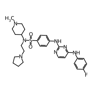 CN1CCC(N(CCN2CCCC2)S(=O)(=O)c2ccc(Nc3nccc(Nc4ccc(F)cc4)n3)cc2)CC1